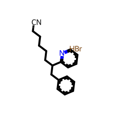 Br.N#CCCCCCC(Cc1ccccc1)c1ccccn1